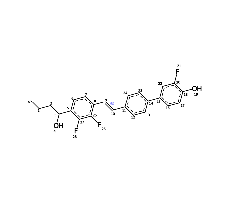 CCCC(O)c1ccc(/C=C/c2ccc(-c3ccc(O)c(F)c3)cc2)c(F)c1F